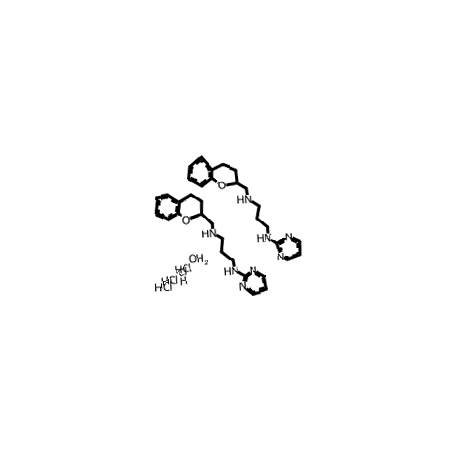 Cl.Cl.Cl.Cl.O.c1cnc(NCCCNCC2CCc3ccccc3O2)nc1.c1cnc(NCCCNCC2CCc3ccccc3O2)nc1